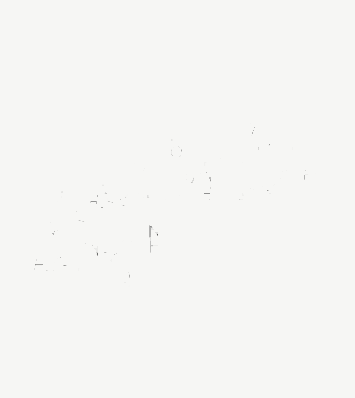 CCN(CC1CCC1)C(=O)c1[nH]cc(C(=O)NCc2ccc(F)cc2F)c(=O)c1O